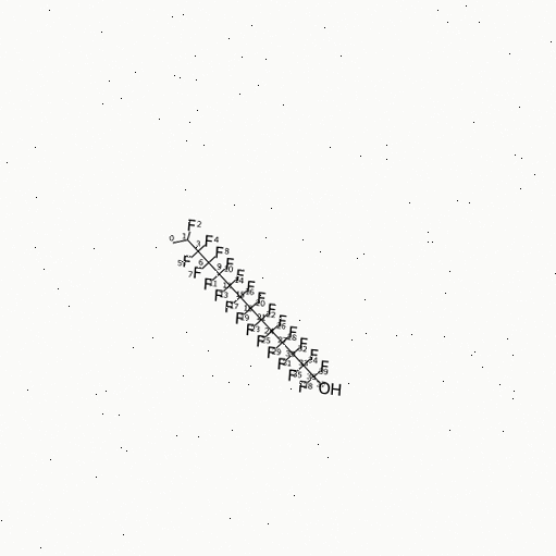 CC(F)C(F)(F)C(F)(F)C(F)(F)C(F)(F)C(F)(F)C(F)(F)C(F)(F)C(F)(F)C(F)(F)C(F)(F)C(F)(F)C(O)(F)F